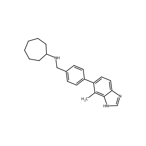 Cc1c(-c2ccc(CNC3CCCCCC3)cc2)ccc2nc[nH]c12